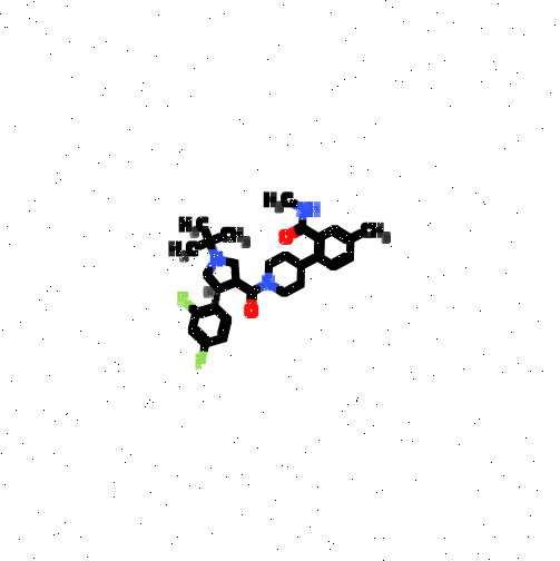 CNC(=O)c1cc(C)ccc1C1CCN(C(=O)C2CN(C(C)(C)C)C[C@H]2c2ccc(F)cc2F)CC1